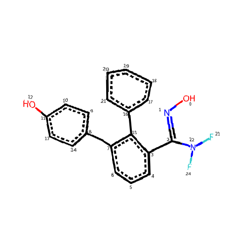 ON=C(c1cccc(-c2ccc(O)cc2)c1-c1ccccc1)N(F)F